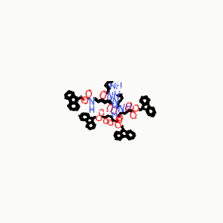 O=C(NCCCCC(NC(=O)C1CCCN1)C(=O)N1CCCC1C(=O)NC(CC(=O)C(=O)OCC1c2ccccc2-c2ccccc21)C(=O)NC(CC(=O)C(=O)OCC1c2ccccc2-c2ccccc21)C(=O)C(=O)OCC1c2ccccc2-c2ccccc21)OCC1c2ccccc2-c2ccccc21